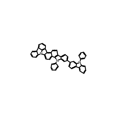 c1ccc(-n2c3ccccc3c3ccc(-c4ccc5c6ccc7c(ccc8c7c7cccc9c%10ccccc%10n8c97)c6n(-c6ccccc6)c5c4)cc32)cc1